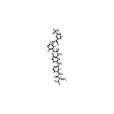 Cc1ccc(NC(=O)c2cccc(C(F)(F)F)c2)cc1N1Cc2cnc(Nc3cccc(NC(=O)C(N)C(C)C)c3)nc2N(C)C1=O